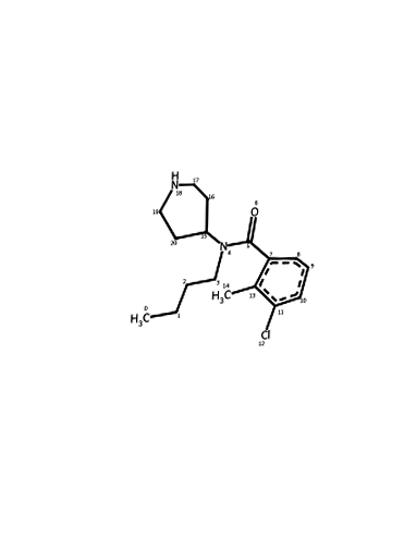 CCCCN(C(=O)c1cccc(Cl)c1C)C1CCNCC1